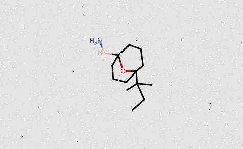 CCC(C)(C)C12CCCC(BN)(CCC1)O2